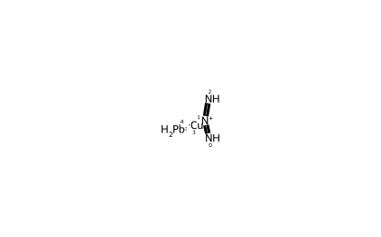 N=[N+]=N.[Cu].[PbH2]